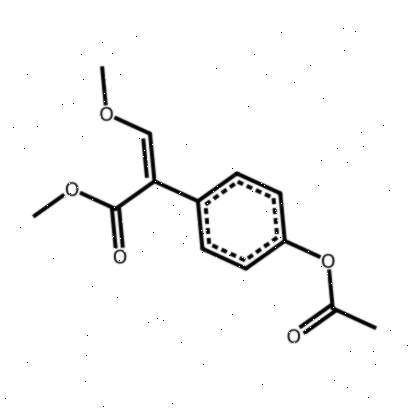 COC=C(C(=O)OC)c1ccc(OC(C)=O)cc1